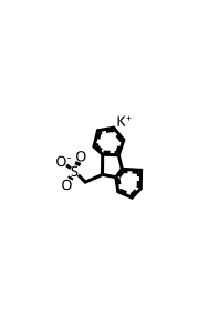 O=S(=O)([O-])CC1c2ccccc2-c2ccccc21.[K+]